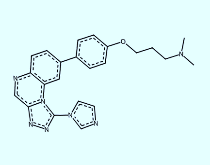 CN(C)CCCOc1ccc(-c2ccc3ncc4nnc(-n5ccnc5)n4c3c2)cc1